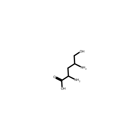 NC(CO)CC(N)C(=O)O